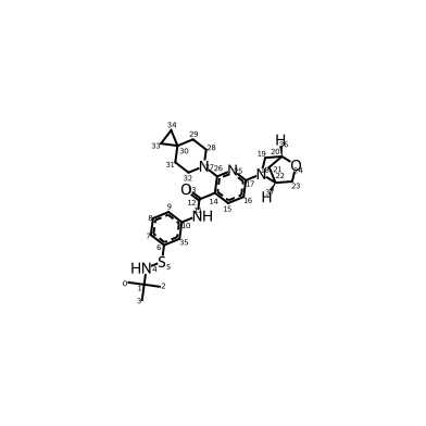 CC(C)(C)NSc1cccc(NC(=O)c2ccc(N3C[C@H]4C[C@@H]3CO4)nc2N2CCC3(CC2)CC3)c1